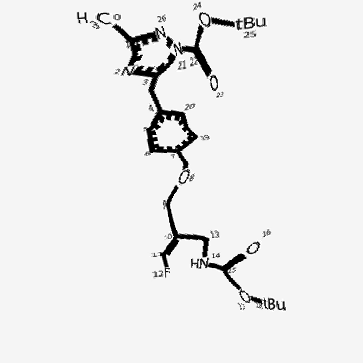 Cc1nc(-c2ccc(OC/C(=C/F)CNC(=O)OC(C)(C)C)cc2)n(C(=O)OC(C)(C)C)n1